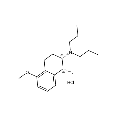 CCCN(CCC)[C@H]1CCc2c(OC)cccc2[C@H]1C.Cl